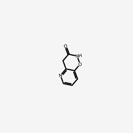 O=C1Cc2ncccc2ON1